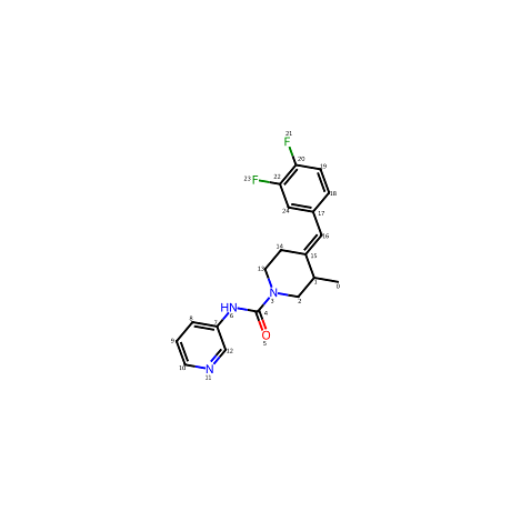 CC1CN(C(=O)Nc2cccnc2)CCC1=Cc1ccc(F)c(F)c1